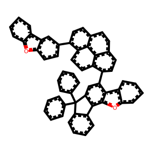 c1ccc(C2(c3ccccc3)c3ccccc3-c3c2cc(-c2ccc4ccc5ccc(-c6ccc7oc8ccccc8c7c6)c6ccc2c4c56)c2c3oc3ccccc32)cc1